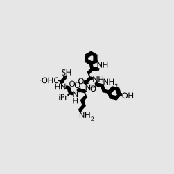 CC(C)[C@H](NC(=O)[C@H](CCCCN)NC(=O)[C@@H](Cc1c[nH]c2ccccc12)NC(=O)[C@@H](N)Cc1ccc(O)cc1)C(=O)N[C@H]([C]=O)CS